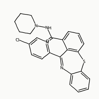 O=C(NN1CCCCC1)c1cccc2c1C(c1ccc(Cl)cn1)=Nc1ccccc1S2